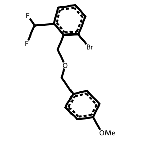 COc1ccc(COCc2c(Br)cccc2C(F)F)cc1